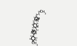 CCCCc1cn(Cc2ccc(Cn3cc(-c4ccc(C)cc4)nn3)nc2)nn1